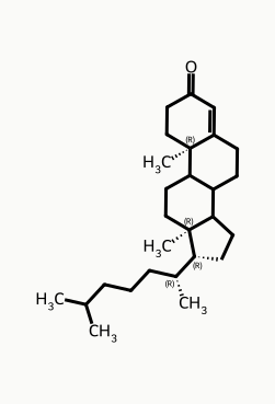 CC(C)CCC[C@@H](C)[C@H]1CCC2C3CCC4=CC(=O)CC[C@]4(C)C3CC[C@@]21C